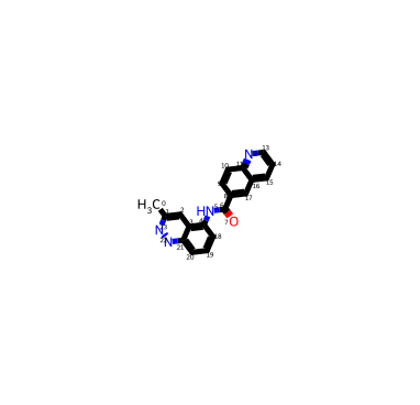 Cc1cc2c(NC(=O)c3ccc4ncccc4c3)cccc2nn1